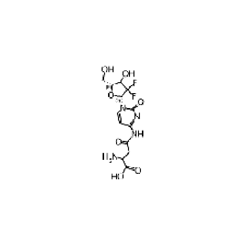 NC(CC(=O)Nc1ccn([C@@H]2O[C@H](CO)C(O)C2(F)F)c(=O)n1)C(=O)O